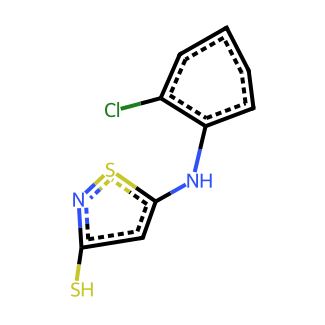 Sc1cc(Nc2ccccc2Cl)sn1